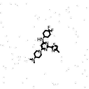 Cc1csc(-c2nc(NC3CCC(F)(F)CC3)cc(N3CCC(N(C)C)CC3)n2)n1